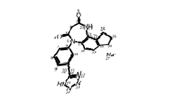 O=C1CC(=O)N(c2cccc(-c3nnn[nH]3)c2)c2ccc3c(c2N1)CCC3.[Na]